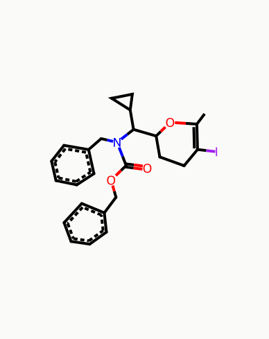 CC1=C(I)CCC(C(C2CC2)N(Cc2ccccc2)C(=O)OCc2ccccc2)O1